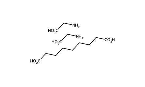 NCC(=O)O.NCC(=O)O.O=C(O)CCCCCCCC(=O)O